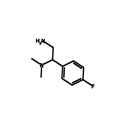 CN(C)C(CN)c1ccc(F)cc1